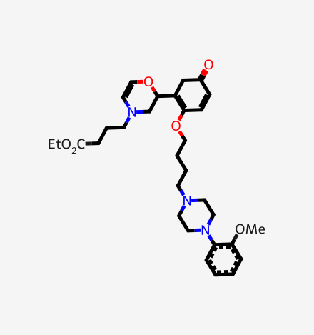 CCOC(=O)CCCN1C=COC(C2=C(OCCCCN3CCN(c4ccccc4OC)CC3)C=CC(=O)C2)C1